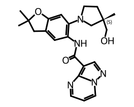 CC1(C)Cc2cc(NC(=O)c3cnn4cccnc34)c(N3CC[C@](C)(CO)C3)cc2O1